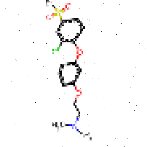 CCS(=O)(=O)c1ccc(Oc2c[c]cc(OCCN(C)C)c2)c(Cl)c1